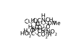 COC(=O)C1=C(C)NC(C)=C(C(=O)OC(C)(C)CN(C)CCC(c2ccccc2)c2ccccc2)C1c1cccc([N+](=O)[O-])c1.O=C(O)CCC(=O)O